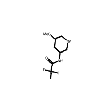 COC1CNCC(NC(=O)C(C)(F)F)C1